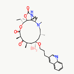 B[C@@H]1[C@@H](C)C(=O)[C@@H](C)C(=O)O[C@H](CC)[C@@]2(C)OC(=O)N[C@@H]2[C@@H](C)N(C)C[C@H](C)C[C@@]1(C)OCCCc1cnc2ccccc2c1